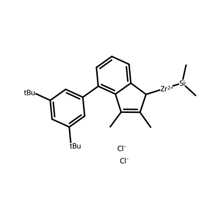 CC1=C(C)[CH]([Zr+2][Si](C)C)c2cccc(-c3cc(C(C)(C)C)cc(C(C)(C)C)c3)c21.[Cl-].[Cl-]